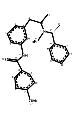 CCCN(C(C)Cc1cccc(NC(=O)c2ccc(OC)cc2)c1)[C@H](C)c1ccccc1